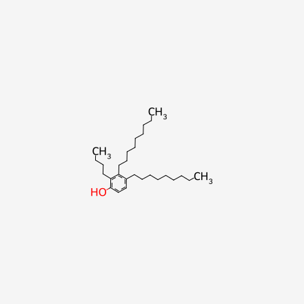 CCCCCCCCCc1ccc(O)c(CCCC)c1CCCCCCCCC